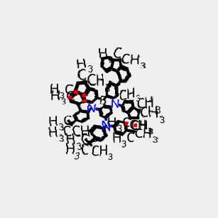 Cc1cc2c(cc1N1c3cc(-c4cccc5c4-c4ccccc4C5(C)C)ccc3B3c4cc5c(cc4N(c4ccc(C(C)(C)C)cc4-c4ccccc4)c4cc(N(c6ccc(C(C)(C)C)cc6)c6ccc(C(C)(C)C)cc6)cc1c43)C(C)(C)CC5(C)C)C(C)(C)CC2(C)C